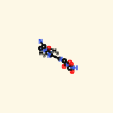 CC(C)(C(=O)Nc1ccc(C#N)c2ccccc12)n1cc(C#CC2CN(c3ccc4c(c3)C(=O)N(C3CCC(=O)NC3=O)C4=O)C2)cn1